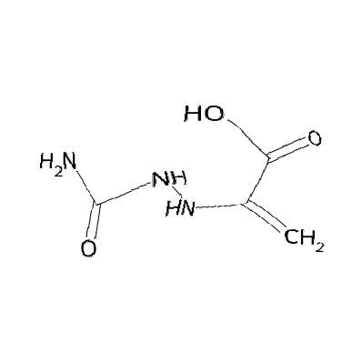 C=C(NNC(N)=O)C(=O)O